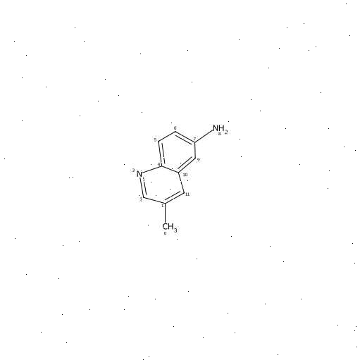 Cc1[c]nc2ccc(N)cc2c1